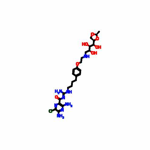 C[C@@H]1OC[C@H]([C@@H](O)[C@H](O)[C@@H](O)CNCCOc2ccc(CCCCN/C(N)=N/C(=O)c3nc(Cl)c(N)nc3N)cc2)O1